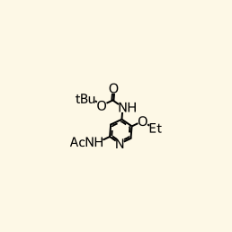 CCOc1cnc(NC(C)=O)cc1NC(=O)OC(C)(C)C